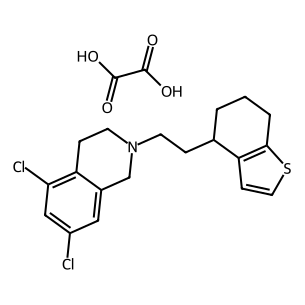 Clc1cc(Cl)c2c(c1)CN(CCC1CCCc3sccc31)CC2.O=C(O)C(=O)O